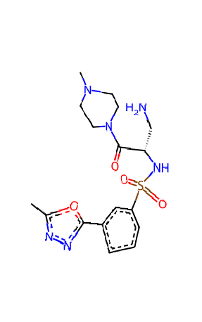 Cc1nnc(-c2cccc(S(=O)(=O)N[C@@H](CN)C(=O)N3CCN(C)CC3)c2)o1